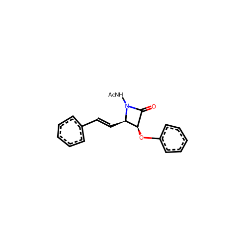 CC(=O)NN1C(=O)[C@@H](Oc2ccccc2)[C@H]1C=Cc1ccccc1